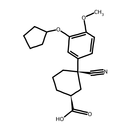 COc1ccc([C@@]2(C#N)CCC[C@H](C(=O)O)C2)cc1OC1CCCC1